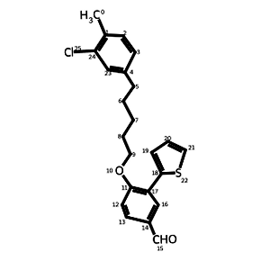 Cc1ccc(CCCCCOc2ccc(C=O)cc2-c2cccs2)cc1Cl